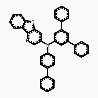 c1ccc(-c2ccc(N(c3cc(-c4ccccc4)cc(-c4ccccc4)c3)c3cnc4c(c3)oc3ccccc34)cc2)cc1